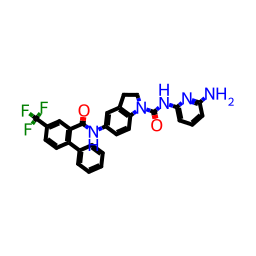 Nc1cccc(NC(=O)N2CCc3cc(NC(=O)c4cc(C(F)(F)F)ccc4-c4ccccc4)ccc32)n1